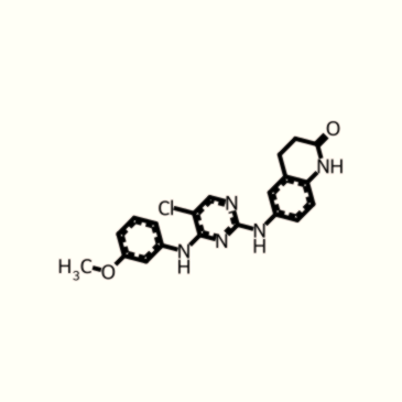 COc1cccc(Nc2nc(Nc3ccc4c(c3)CCC(=O)N4)ncc2Cl)c1